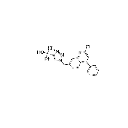 CCC(O)(c1cn(Cc2ccc3c(-c4ccccc4)cc(Cl)nc3c2)nn1)C(F)(F)F